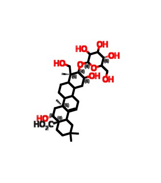 CC1(C)CC[C@@]2(C(=O)O)C(C1)C1=CCC3C4C[C@H](O)[C@H](O[C@@H]5OC(CO)[C@@H](O)C(O)C5O)[C@](C)(CO)C4CCC3[C@]1(C)C[C@H]2O